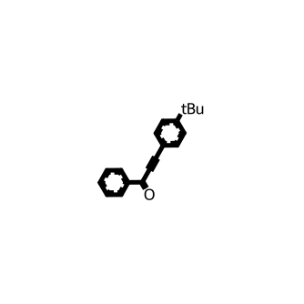 CC(C)(C)c1ccc(C#CC(=O)c2ccccc2)cc1